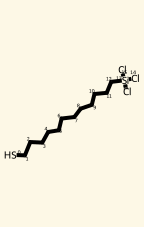 SCCCCCCCCCCCC[Si](Cl)(Cl)Cl